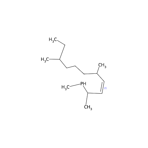 CCC(C)CCCC(C)/C=C\C(C)PC